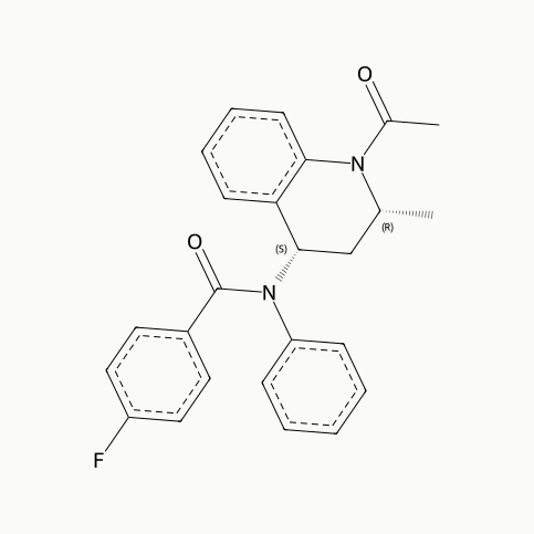 CC(=O)N1c2ccccc2[C@@H](N(C(=O)c2ccc(F)cc2)c2ccccc2)C[C@H]1C